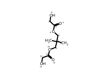 CC(C)(COC(=O)CO)COC(=O)CO